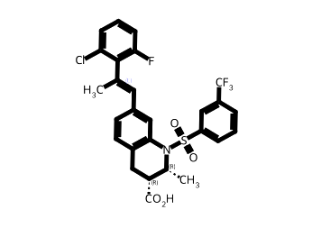 C/C(=C\c1ccc2c(c1)N(S(=O)(=O)c1cccc(C(F)(F)F)c1)[C@H](C)[C@H](C(=O)O)C2)c1c(F)cccc1Cl